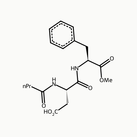 CCCC(=O)N[C@@H](CC(=O)O)C(=O)N[C@@H](Cc1ccccc1)C(=O)OC